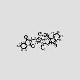 CCOC(=O)C(CCCN1C(=O)c2ccccc2C1=O)(CCCN1C(=O)c2ccccc2C1=O)C(=O)O